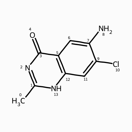 Cc1nc(=O)c2cc(N)c(Cl)cc2[nH]1